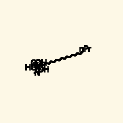 CCC/C=C\CCCCCCCCCCCCCCCC(O)(C[N+](C)(C)C)P(=O)(O)O